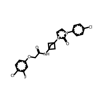 O=C(COc1ccc(Cl)c(F)c1)NC12CC(n3ccn(-c4ccc(Cl)cc4)c3=O)(C1)C2